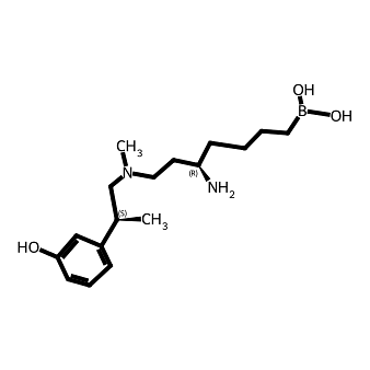 C[C@H](CN(C)CC[C@H](N)CCCCB(O)O)c1cccc(O)c1